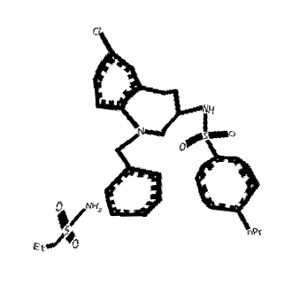 CCCc1ccc(S(=O)(=O)NC2Cc3cc(Cl)ccc3N(Cc3ccccc3)C2)cc1.CCS(N)(=O)=O